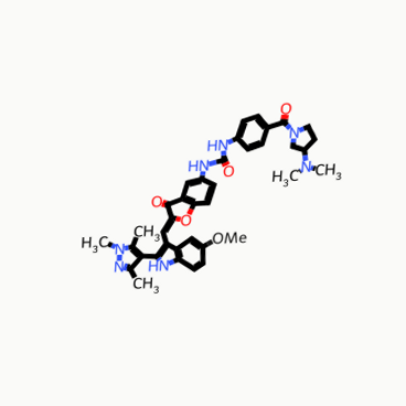 COc1ccc2[nH]c(-c3c(C)nn(C)c3C)c(C=C3Oc4ccc(NC(=O)Nc5ccc(C(=O)N6CCC(N(C)C)C6)cc5)cc4C3=O)c2c1